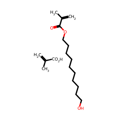 C=C(C)C(=O)O.C=C(C)C(=O)OCCCCCCCCCCO